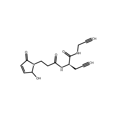 C#CCNC(=O)[C@@H](CC#C)NC(=O)CCN1C(=O)C=CC1O